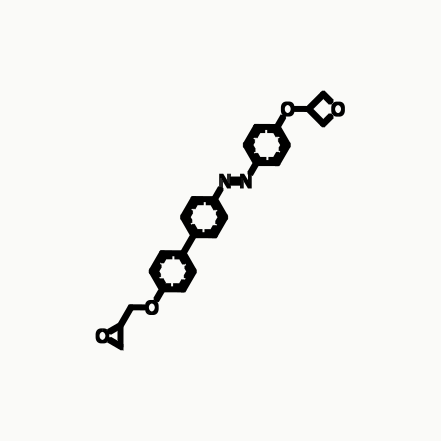 c1cc(OC2COC2)ccc1/N=N/c1ccc(-c2ccc(OCC3CO3)cc2)cc1